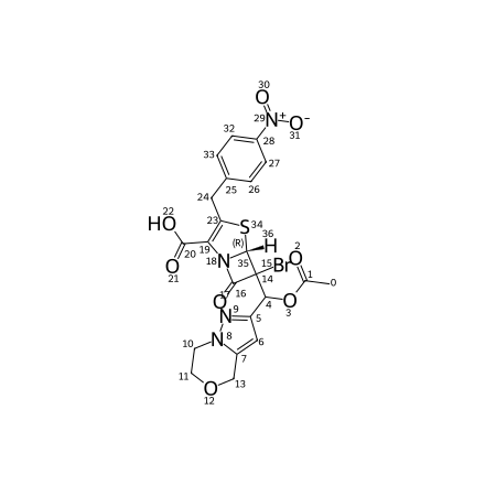 CC(=O)OC(c1cc2n(n1)CCOC2)C1(Br)C(=O)N2C(C(=O)O)=C(Cc3ccc([N+](=O)[O-])cc3)S[C@@H]21